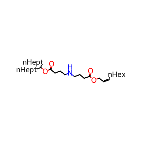 CCCCCC/C=C\COC(=O)CCCNCCCC(=O)OC(CCCCCCC)CCCCCCC